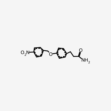 NC(=O)CCc1ccc(OCc2ccc([N+](=O)[O-])cc2)cc1